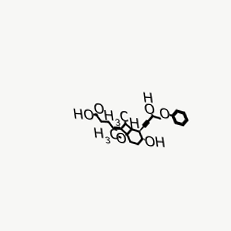 CO[C@]12CC[C@@H](O)[C@H](C#CC(O)COc3ccccc3)[C@H]1C(C)C2=CCCC(=O)O